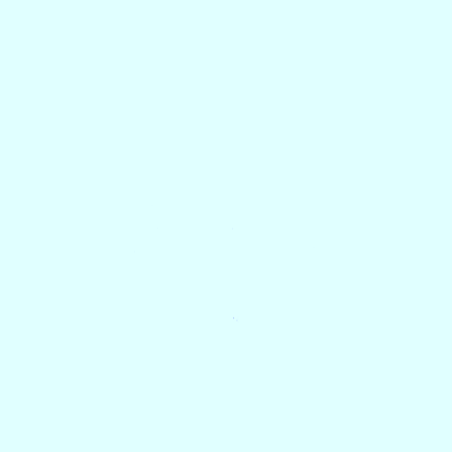 CCc1ccc(-c2nsc(CF)c2COc2c(C(F)(F)F)cc(CCC(=O)O)cc2C(F)(F)F)cc1